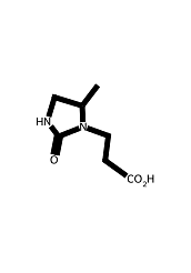 CC1CNC(=O)N1CCC(=O)O